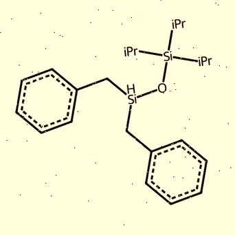 CC(C)[Si](O[SiH](Cc1ccccc1)Cc1ccccc1)(C(C)C)C(C)C